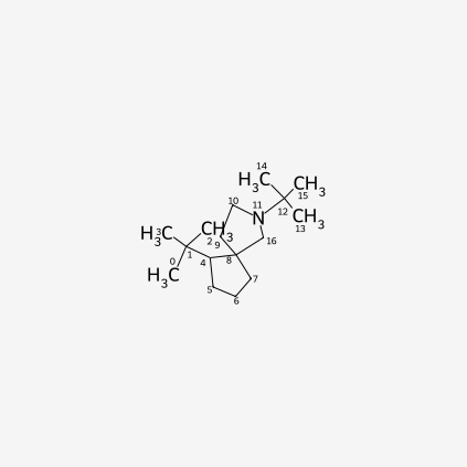 CC(C)(C)C1CCCC12CCN(C(C)(C)C)C2